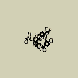 CC(=O)NC[C@@H]1CN([C@H](C)c2ccc(OC(F)F)cc2)C(=O)c2c3c(nn21)C[C@@H](C)N(C(=O)c1ccc(Cl)c(C#N)c1)C3